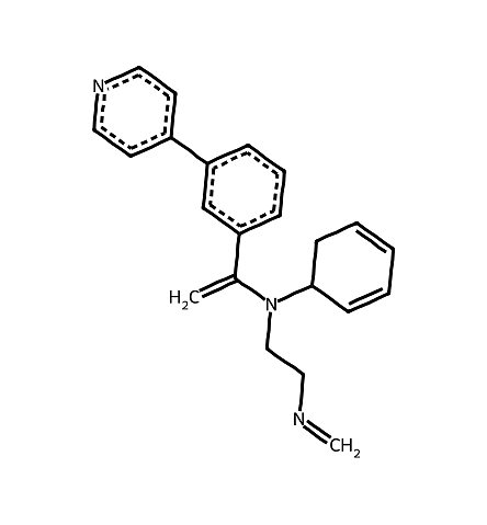 C=NCCN(C(=C)c1cccc(-c2ccncc2)c1)C1C=CC=CC1